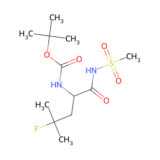 CC(C)(F)CC(NC(=O)OC(C)(C)C)C(=O)NS(C)(=O)=O